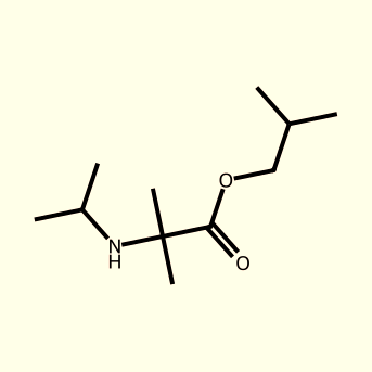 CC(C)COC(=O)C(C)(C)NC(C)C